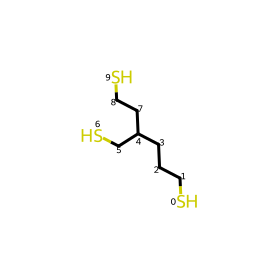 SCCCC(CS)CCS